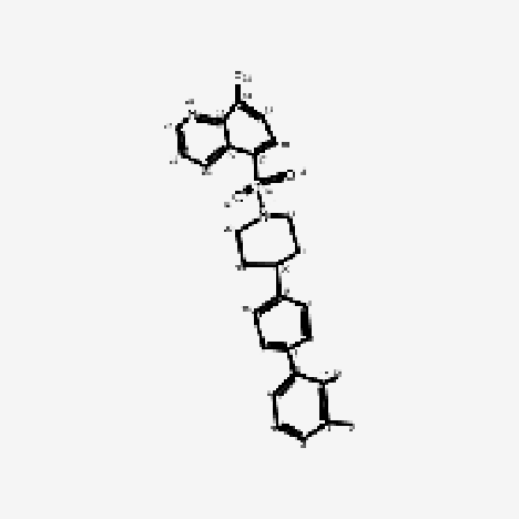 Cc1cccc(-c2ccc(C3CCN(S(=O)(=O)c4ccc(F)c5ncccc45)CC3)cc2)c1C